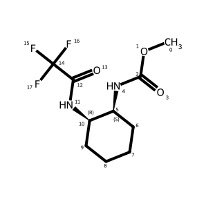 COC(=O)N[C@H]1CCCC[C@H]1NC(=O)C(F)(F)F